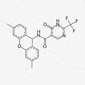 Cc1ccc2c(c1)Oc1cc(C)ccc1C2NC(=O)c1cnc(C(F)(F)F)[nH]c1=O